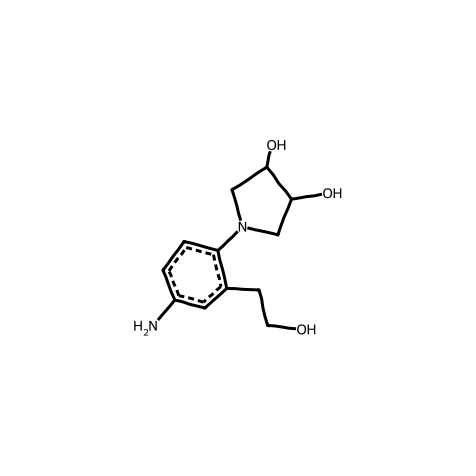 Nc1ccc(N2CC(O)C(O)C2)c(CCO)c1